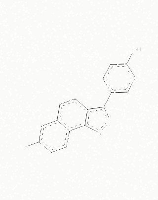 Oc1ccc(-c2onc3c2ccc2cc(O)ccc23)cc1